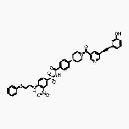 O=C(NS(=O)(=O)c1ccc(NCCSc2ccccc2)c([N+](=O)[O-])c1)c1ccc(N2CCN(C(=O)c3cncc(C#Cc4cccc(O)c4)c3)CC2)cc1